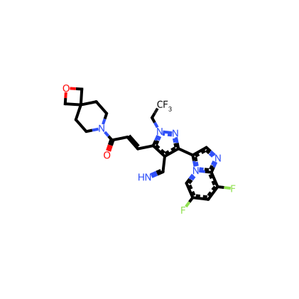 N=Cc1c(-c2cnc3c(F)cc(F)cn23)nn(CC(F)(F)F)c1/C=C/C(=O)N1CCC2(CC1)COC2